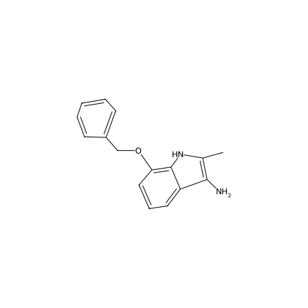 Cc1[nH]c2c(OCc3ccccc3)cccc2c1N